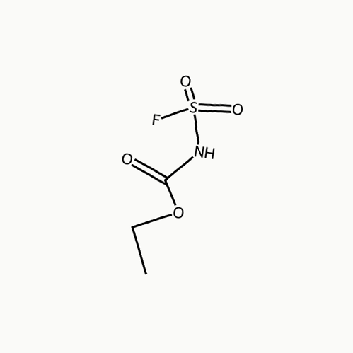 CCOC(=O)NS(=O)(=O)F